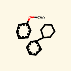 O=COc1ccccc1.c1ccc(C2CCCCC2)cc1